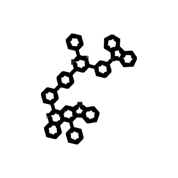 c1ccc(-c2nc(-c3ccc(-c4cccc(-c5nc6ccccc6c6c(-c7ccccc7)c7c(cc56)oc5ccccc57)c4)cc3)cc(-c3cccc(-n4c5ccccc5c5ccccc54)c3)n2)cc1